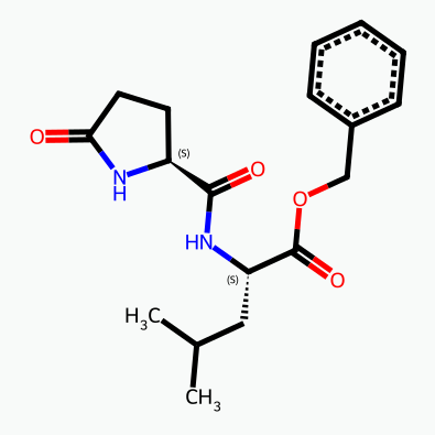 CC(C)C[C@H](NC(=O)[C@@H]1CCC(=O)N1)C(=O)OCc1ccccc1